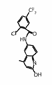 Cc1cc(O)nc2ccc(NC(=O)c3cc(C(F)(F)F)ccc3Cl)cc12